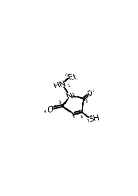 CCNN1C(=O)C=C(S)C1=O